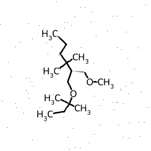 CCCC(C)(C)[C@H](COC)COC(C)(C)CC